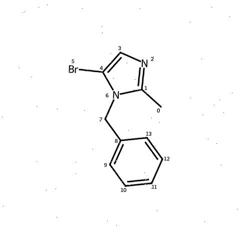 Cc1ncc(Br)n1Cc1ccccc1